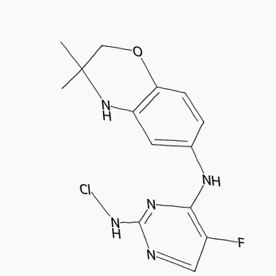 CC1(C)COc2ccc(Nc3nc(NCl)ncc3F)cc2N1